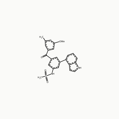 COc1cc(C(=O)c2cc(NS(C)(=O)=O)cc(-c3cccc4[nH]ccc34)c2)cc(C)n1